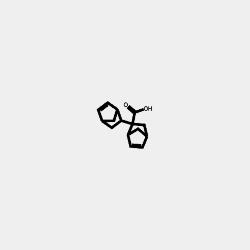 O=C(O)C1(C2CC3C=CC2C3)CC2C=CC1C2